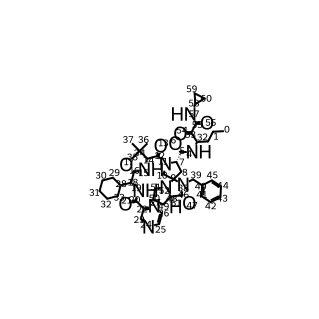 CCCC(NC(=O)[C@@H]1CC2(CN1C(=O)[C@@H](NC(=O)[C@@H](NC(=O)c1cnccn1)C1CCCCC1)C(C)(C)C)N(Cc1ccccc1)C(=O)[C@H]1CCCN12)C(=O)C(=O)NC1CC1